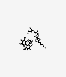 CCCCCCC(F)(F)C(F)(F)C(F)(F)NCC(C)CCC(CC)CCC.Fc1c(F)c(F)c(-c2c(C(F)(F)F)c(F)c(F)c(F)c2C(F)(F)C(F)(F)F)c(F)c1F